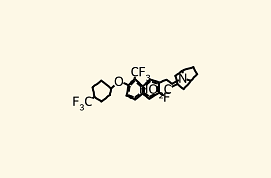 O=C(O)C1CC2CCC(C1)N2CCc1cc2c(C(F)(F)F)c(OC3CCC(C(F)(F)F)CC3)ccc2cc1F